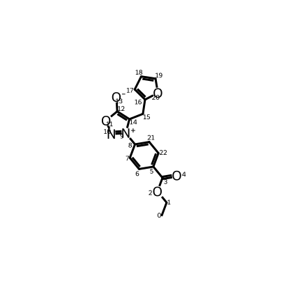 CCOC(=O)c1ccc(-[n+]2noc([O-])c2Cc2ccco2)cc1